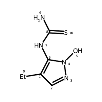 CCc1cnn(O)c1NC(N)=S